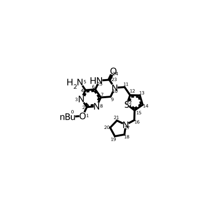 CCCCOc1nc(N)c2c(n1)CN(Cc1ccc(CN3CCCC3)s1)C(=O)N2